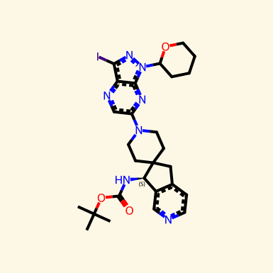 CC(C)(C)OC(=O)N[C@@H]1c2cnccc2CC12CCN(c1cnc3c(I)nn(C4CCCCO4)c3n1)CC2